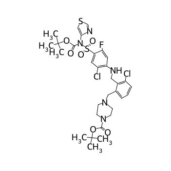 CC(C)(C)OC(=O)N1CCN(Cc2cccc(Cl)c2CNc2cc(F)c(S(=O)(=O)N(C(=O)OC(C)(C)C)c3cscn3)cc2Cl)CC1